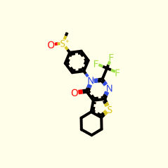 C[S+]([O-])c1ccc(-n2c(C(F)(F)F)nc3sc4c(c3c2=O)CCCC4)cc1